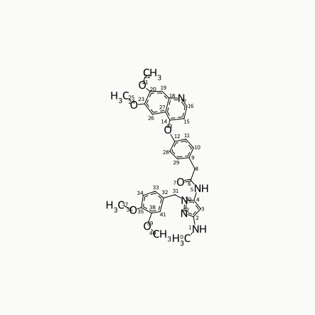 CNc1cc(NC(=O)Cc2ccc(Oc3ccnc4cc(OC)c(OC)cc34)cc2)n(Cc2ccc(OC)c(OC)c2)n1